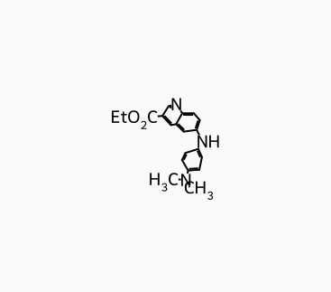 CCOC(=O)c1cnc2ccc(Nc3ccc(N(C)C)cc3)cc2c1